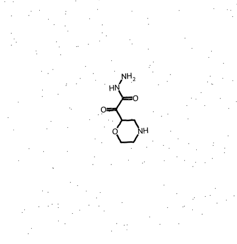 NNC(=O)C(=O)C1CNCCO1